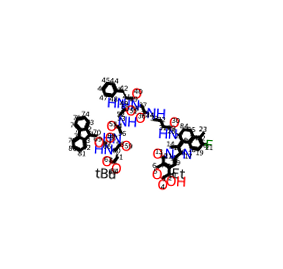 CC[C@@]1(O)C(=O)OCc2c1cc1n(c2=O)Cc2c-1nc1cc(F)c(C)c3c1c2[C@@H](NC(=O)CCCNC(=O)CNC(=O)[C@H](Cc1ccccc1)NC(=O)CNC(=O)CNC(=O)[C@H](CC(=O)OC(C)(C)C)NC(=O)OCC1c2ccccc2-c2ccccc21)CC3